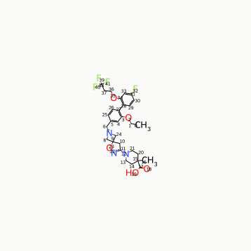 CCOc1cc(CN2CC3(CC(N4CCC(C)(C(=O)O)CC4)=NO3)C2)ccc1-c1ccc(F)cc1OCCC(F)(F)F